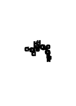 O=C(Nc1cc(Cl)cc(Cl)c1)NC1CCN(C(=O)c2ccc(-n3ccnc3)cc2)CC1